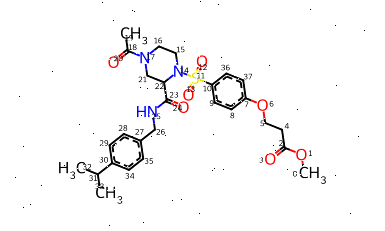 COC(=O)CCOc1ccc(S(=O)(=O)N2CCN(C(C)=O)CC2C(=O)NCc2ccc(C(C)C)cc2)cc1